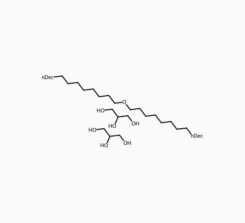 CCCCCCCCCCCCCCCCCCOCCCCCCCCCCCCCCCCCC.OCC(O)CO.OCC(O)CO